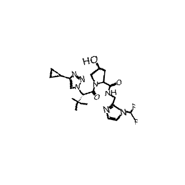 CC(C)(C)[C@@H](C(=O)N1CC(O)CC1C(=O)NCc1nccn1C(F)F)n1cc(C2CC2)nn1